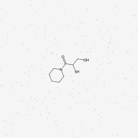 O=C(C(S)CO)N1CCCCC1